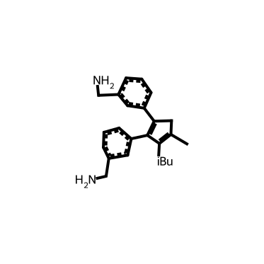 CCC(C)C1=C(C)CC(c2cccc(CN)c2)=C1c1cccc(CN)c1